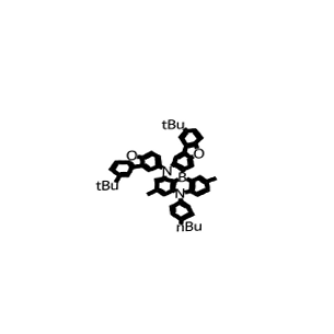 CCCCc1ccc(N2c3ccc(C)cc3B3c4cc5oc6ccc(C(C)(C)C)cc6c5cc4N(c4ccc5oc6ccc(C(C)(C)C)cc6c5c4)c4cc(C)cc2c43)cc1